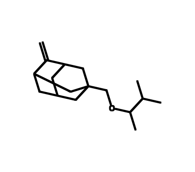 C=C1C2CC3CC1CC(COC(C)C(C)C)(C3)C2